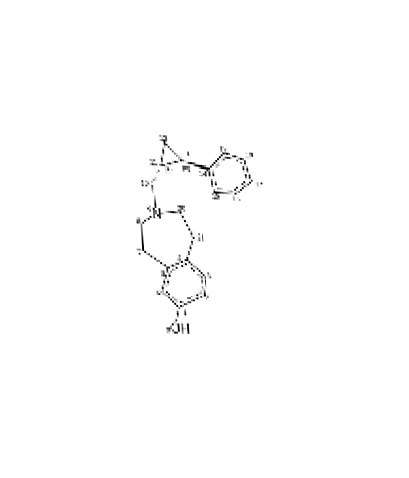 Oc1ccc2c(c1)CCN(C[C@@H]1C[C@H]1c1ccccc1)CC2